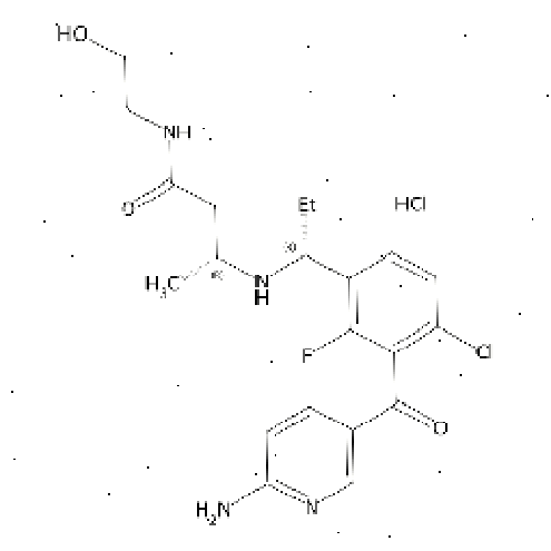 CC[C@@H](N[C@H](C)CC(=O)NCCO)c1ccc(Cl)c(C(=O)c2ccc(N)nc2)c1F.Cl